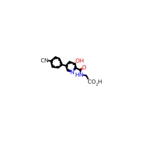 [C-]#[N+]c1ccc(-c2cnc(C(=O)NCC(=O)O)c(O)c2)cc1